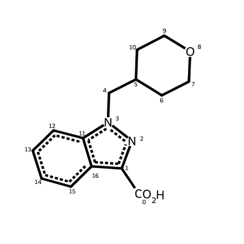 O=C(O)c1nn(CC2CCOCC2)c2ccccc12